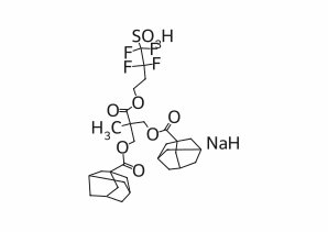 CC(COC(=O)C12CC3CC(CC(C3)C1)C2)(COC(=O)C12CC3CC(CC(C3)C1)C2)C(=O)OCCC(F)(F)C(F)(F)S(=O)(=O)O.[NaH]